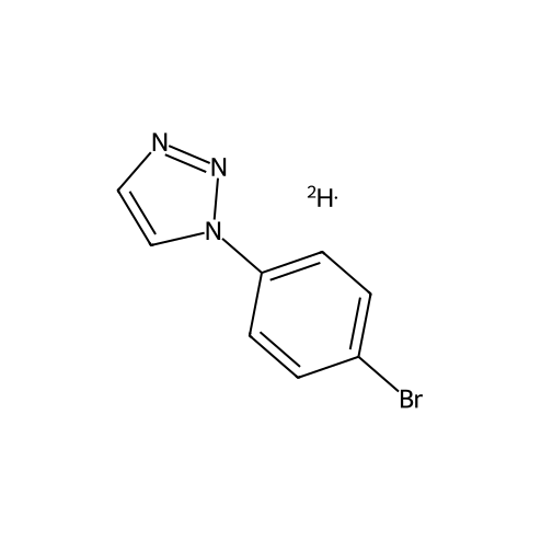 Brc1ccc(-n2ccnn2)cc1.[2H]